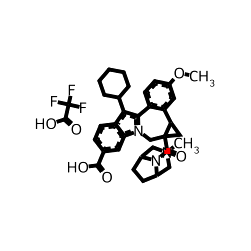 COc1ccc2c(c1)C1CC1(C(=O)N1C3CCC1CN(C)C3)Cn1c-2c(C2CCCCC2)c2ccc(C(=O)O)cc21.O=C(O)C(F)(F)F